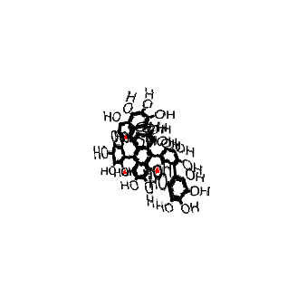 Oc1c(O)c(O)c(-c2c(O)c(O)c(O)c(-c3c4c(O)c(O)c(O)c(O)c4c(-c4c(O)c(O)c(O)c5oc6c(O)c7c(O)c(O)c(O)c(O)c7c(O)c6c45)c4c(O)c(O)c(O)c(O)c34)c2O)c(O)c1O